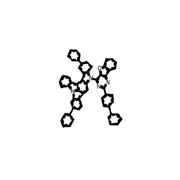 c1ccc(-c2ccc(-c3nc(-n4c5ccc(-c6ccccc6)cc5c5c6c7ccccc7n7c8cc(-c9ccccc9)ccc8c(cc54)c67)c4oc5ccccc5c4n3)cc2)cc1